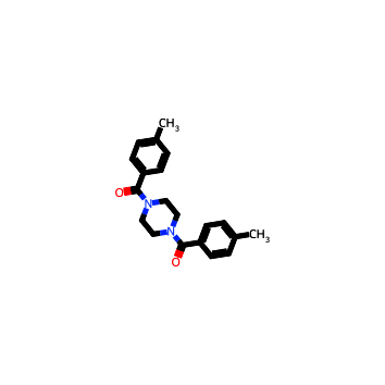 Cc1ccc(C(=O)N2CCN(C(=O)c3ccc(C)cc3)CC2)cc1